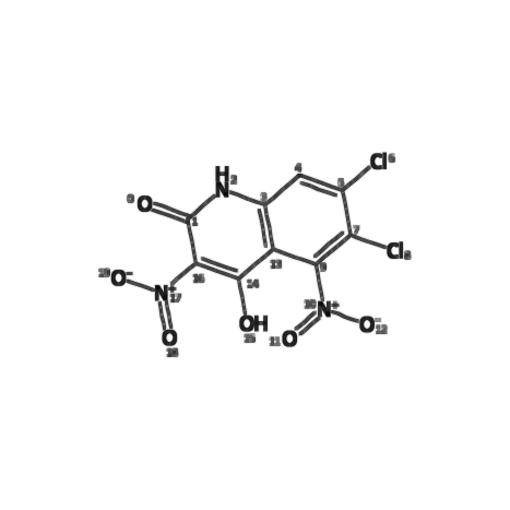 O=c1[nH]c2cc(Cl)c(Cl)c([N+](=O)[O-])c2c(O)c1[N+](=O)[O-]